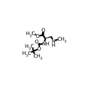 CNC[C@@H](NC(=O)OC(C)(C)C)C(=O)OC